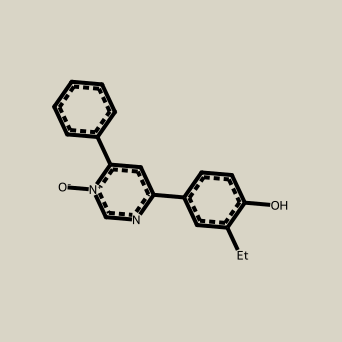 CCc1cc(-c2cc(-c3ccccc3)[n+]([O-])cn2)ccc1O